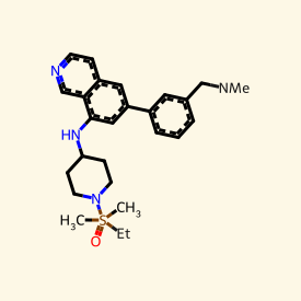 CCS(C)(C)(=O)N1CCC(Nc2cc(-c3cccc(CNC)c3)cc3ccncc23)CC1